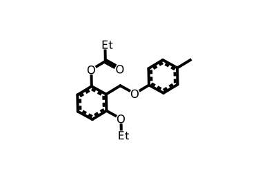 CCOc1cccc(OC(=O)CC)c1COc1ccc(C)cc1